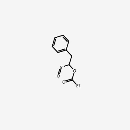 CCC(=O)OC(Cc1ccccc1)[S+]=O